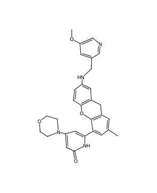 COc1cncc(CNc2ccc3c(c2)Cc2cc(C)cc(-c4cc(N5CCOCC5)cc(=O)[nH]4)c2O3)c1